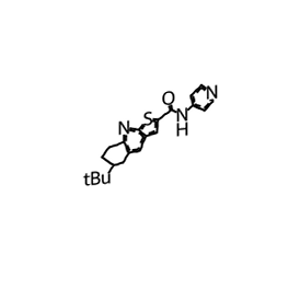 CC(C)(C)C1CCc2nc3sc(C(=O)Nc4ccncc4)cc3cc2C1